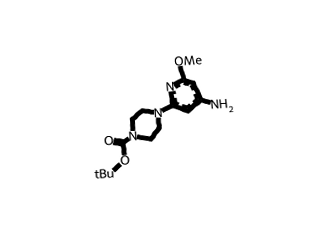 COc1cc(N)cc(N2CCN(C(=O)OC(C)(C)C)CC2)n1